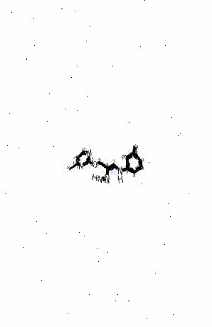 Cc1cccc(N/C=C(/COc2nccc(C)n2)N=N)c1